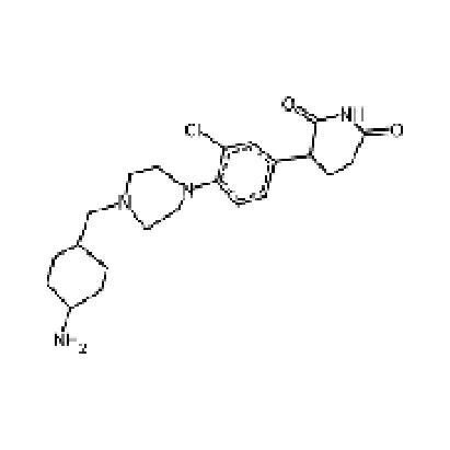 NC1CCC(CN2CCN(c3ccc(C4CCC(=O)NC4=O)cc3Cl)CC2)CC1